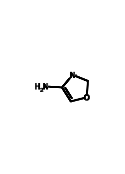 NC1=COC[N]1